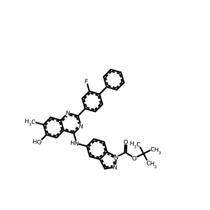 Cc1cc2nc(-c3ccc(-c4ccccc4)c(F)c3)nc(Nc3ccc4c(cnn4C(=O)OC(C)(C)C)c3)c2cc1O